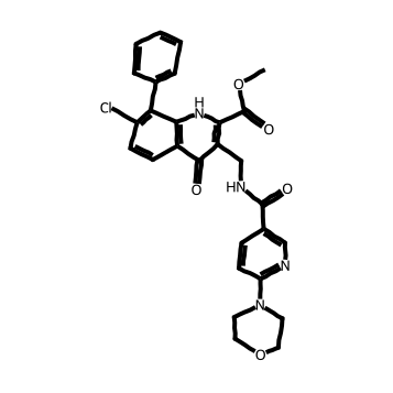 COC(=O)c1[nH]c2c(-c3ccccc3)c(Cl)ccc2c(=O)c1CNC(=O)c1ccc(N2CCOCC2)nc1